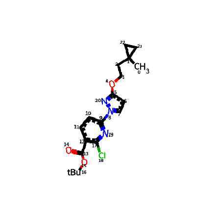 CC1(CCOc2ccn(-c3ccc(C(=O)OC(C)(C)C)c(Cl)n3)n2)CC1